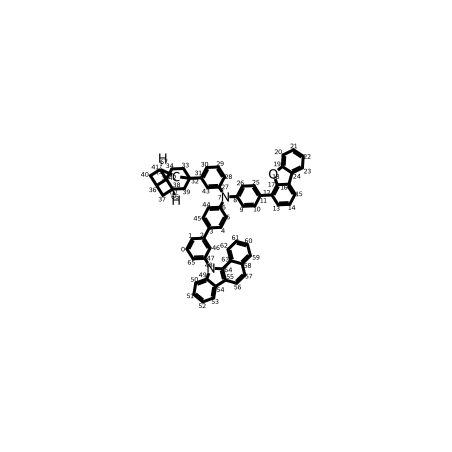 c1cc(-c2ccc(N(c3ccc(-c4cccc5c4oc4ccccc45)cc3)c3cccc(C45CCC67C(C[C@H]6C4)C[C@H]7C5)c3)cc2)cc(-n2c3ccccc3c3ccc4ccccc4c32)c1